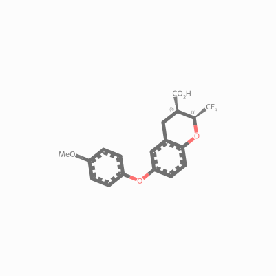 COc1ccc(Oc2ccc3c(c2)C[C@@H](C(=O)O)[C@@H](C(F)(F)F)O3)cc1